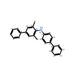 Cc1cc(-c2ccccc2)cc(C)c1Nc1ccc(-c2ccccc2)cc1